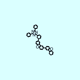 C1=CC(c2ccc3oc4ccc(-c5ccc6oc7c(c6c5)CCC=C7)cc4c3c2)CC(c2nc(-c3ccccc3)nc(-c3ccccc3)n2)=C1